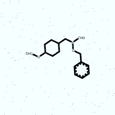 O=COC1CCC(CN(C=O)OCc2ccccc2)CC1